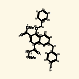 COC(=O)c1cc(C(=O)NNC(C)=O)c2cc(Cc3ccc(F)cc3)cnc2c1OCc1ccccc1